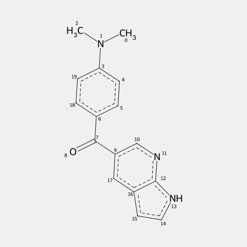 CN(C)c1ccc(C(=O)c2cnc3[nH]ccc3c2)cc1